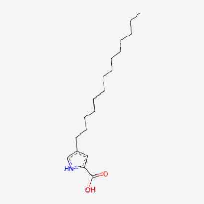 CCCCCCCCCCCCCCc1c[nH]c(C(=O)O)c1